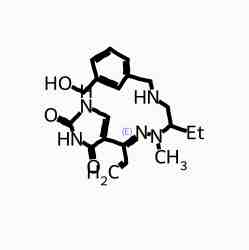 C=C/C(=N\N(C)C(CC)CNCc1cccc(CO)c1)c1c[nH]c(=O)[nH]c1=O